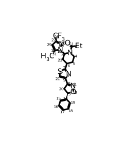 CCC(=O)N1CCC(c2nc(C3=NO[C@@H](c4ccccc4)C3)cs2)CC1n1nc(C(F)(F)F)cc1C